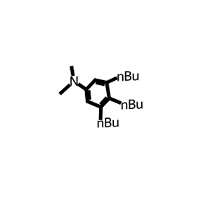 CCCCc1cc(N(C)C)cc(CCCC)c1CCCC